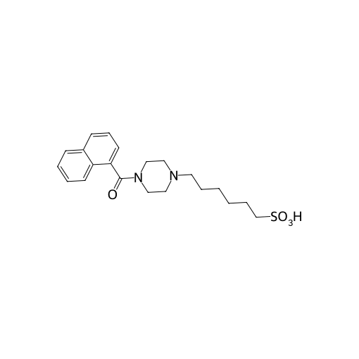 O=C(c1cccc2ccccc12)N1CCN(CCCCCCS(=O)(=O)O)CC1